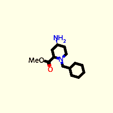 COC(=O)C1C[C@H](N)CCN1CC1CCCCC1